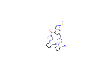 N#Cc1ccccc1N1CCN(Cc2cc(C(=O)N3CCN(c4ccccc4C#N)CC3)c3ccn(SI)c3c2)CC1